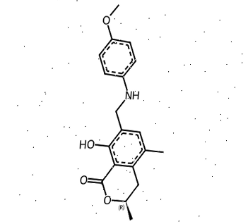 COc1ccc(NCc2cc(C)c3c(c2O)C(=O)O[C@H](C)C3)cc1